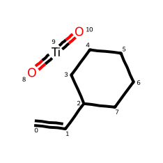 C=CC1CCCCC1.[O]=[Ti]=[O]